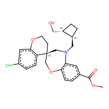 COC(=O)c1ccc2c(c1)N(C[C@@H]1CC[C@H]1CO)C[C@@]1(CCOc3cc(Cl)ccc31)CO2